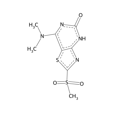 CN(C)c1nc(=O)[nH]c2nc(S(C)(=O)=O)sc12